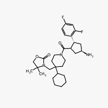 CC1(C)COC(=O)N1CC1(C2CCCCC2)CCN(C(=O)C2C[C@H](N)C[C@H]2c2ccc(F)cc2F)CC1